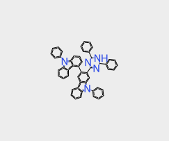 c1ccc(C2=NC(c3cc4c(cc3-c3cccc5c3c3ccccc3n5-c3ccccc3)c3ccccc3n4-c3ccccc3)=NC(c3ccccc3)N2)cc1